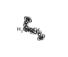 CC1(C)C=C(Oc2ccc(N3C(=O)C=CC3=O)cc2)C=CC1Cc1cccc(CC2C=CC(Oc3ccc(N4C(=O)C=CC4=O)cc3)=CC2(C)C)c1